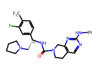 CC(C)Nc1ncc2c(n1)CN(C(=O)N[C@H](CN1CCCC1)c1ccc(C(F)(F)F)c(F)c1)CC2